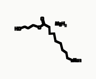 CCCCCCCCCCCCCCCCCC(=O)OCCCO.[MgH2]